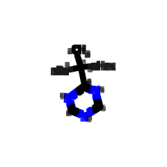 CCCCCCC(C)(CCCC)c1ncncn1